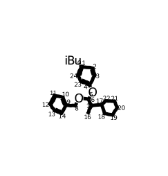 CCC(C)c1ccc(OC(OCc2ccccc2)C(C)C2CCCCC2)cc1